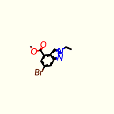 CCn1cc2c(C(=O)OC)cc(Br)cc2n1